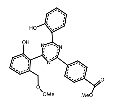 COOCc1cccc(O)c1-c1nc(-c2ccc(C(=O)OC)cc2)nc(-c2ccccc2O)n1